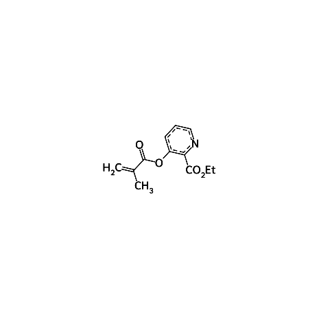 C=C(C)C(=O)Oc1cccnc1C(=O)OCC